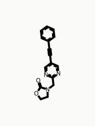 O=C1OCCN1Cc1ncc(C#Cc2ccccc2)cn1